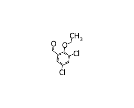 CCOc1c(Cl)cc(Cl)cc1C=O